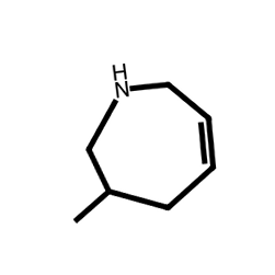 CC1CC=CCNC1